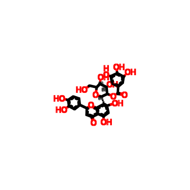 O=C(OC1[C@@H](O)[C@H](O)C(CO)O[C@H]1c1c(O)cc(O)c2c(=O)cc(-c3ccc(O)c(O)c3)oc12)c1cc(O)c(O)c(O)c1